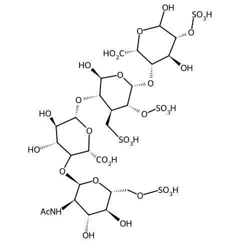 CC(=O)N[C@H]1[C@@H](OC2[C@@H](C(=O)O)O[C@@H](O[C@H]3[C@H](CS(=O)(=O)O)[C@@H](OS(=O)(=O)O)[C@@H](O[C@H]4[C@H](O)[C@@H](OS(=O)(=O)O)C(O)O[C@H]4C(=O)O)O[C@@H]3O)[C@H](O)[C@H]2O)O[C@H](COS(=O)(=O)O)[C@@H](O)[C@@H]1O